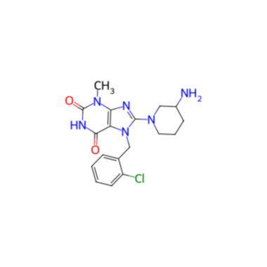 Cn1c(=O)[nH]c(=O)c2c1nc(N1CCCC(N)C1)n2Cc1ccccc1Cl